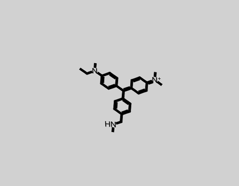 CCN(C)c1ccc(C(=C2C=CC(=[N+](C)C)C=C2)c2ccc(CNC)cc2)cc1